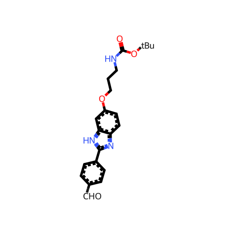 CC(C)(C)OC(=O)NCCCOc1ccc2nc(-c3ccc(C=O)cc3)[nH]c2c1